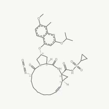 COc1ccc2c(O[C@@H]3C[C@H]4C(=O)N[C@]5(C(=O)NS(=O)(=O)C6CC6)C[C@H]5/C=C\CCCCC[C@H](N=C=O)C(=O)N4C3)cc(OC(C)C)nc2c1C